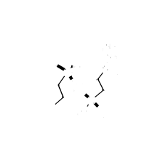 NCCS(=O)(=O)[O-].O=S(=O)([O-])CCO.[Na+].[Na+]